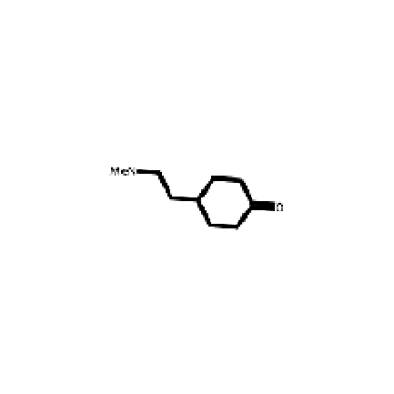 CNCCC1CCC(=O)CC1